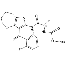 C[C@H](NC(=O)OC(C)(C)C)C(=O)Nc1sc2c(c1C(=O)c1c(F)cccc1F)OCCCC2